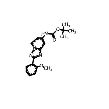 COc1ccccc1-c1nc2cc(NC(=O)OC(C)(C)C)ccn2n1